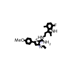 C=C/N=C1/C=C(c2ccc(OC)cc2)S/C1=C(/N)NCCc1c(C)[nH]c2c(F)ccc(C)c12